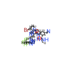 CCNC(=O)c1cc(C#N)cc(C)c1NC(=O)c1cc(Cn2nnnc2C(F)(F)C(F)(F)F)nn1-c1ncccc1Br